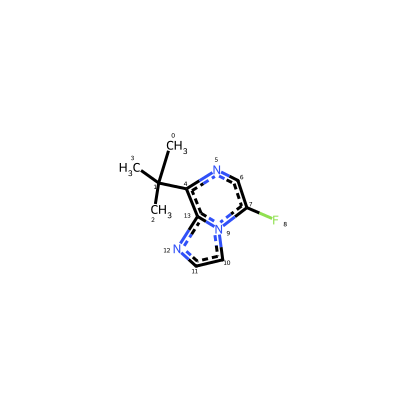 CC(C)(C)c1ncc(F)n2ccnc12